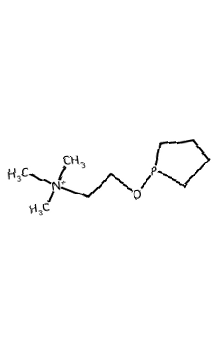 C[N+](C)(C)CCOP1CCCC1